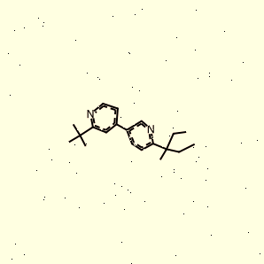 CCC(C)(CC)c1ccc(-c2ccnc(C(C)(C)C)c2)cn1